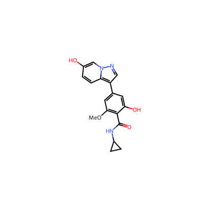 COc1cc(-c2cnn3cc(O)ccc23)cc(O)c1C(=O)NC1CC1